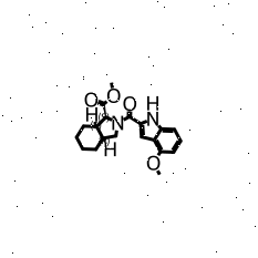 COC(=O)[C@@H]1[C@H]2CCCC[C@H]2CN1C(=O)c1cc2c(OC)cccc2[nH]1